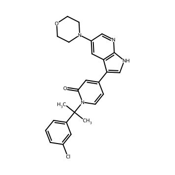 CC(C)(c1cccc(Cl)c1)n1ccc(-c2c[nH]c3ncc(N4CCOCC4)cc23)cc1=O